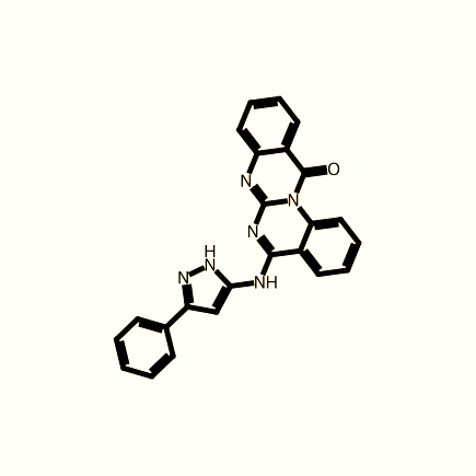 O=c1c2ccccc2nc2nc(Nc3cc(-c4ccccc4)n[nH]3)c3ccccc3n12